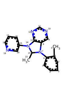 Cc1ccccc1N1c2cncnc2N(c2cccnc2)C1C